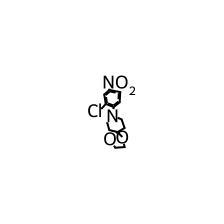 O=[N+]([O-])c1ccc(N2CCC3(CC2)OCCO3)c(Cl)c1